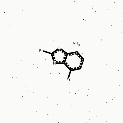 CCc1nc2c(CC)cccc2s1.N